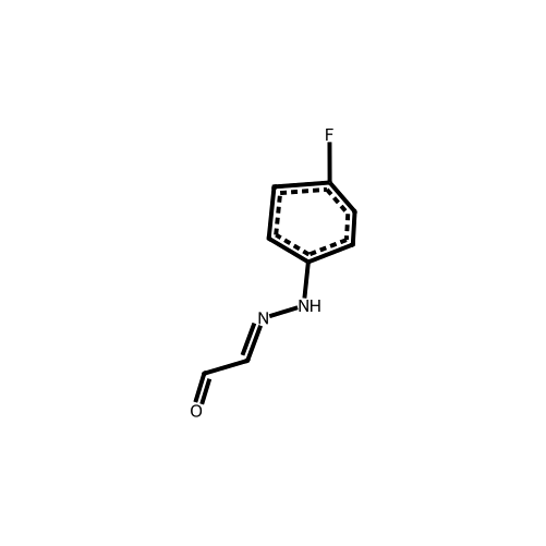 O=CC=NNc1ccc(F)cc1